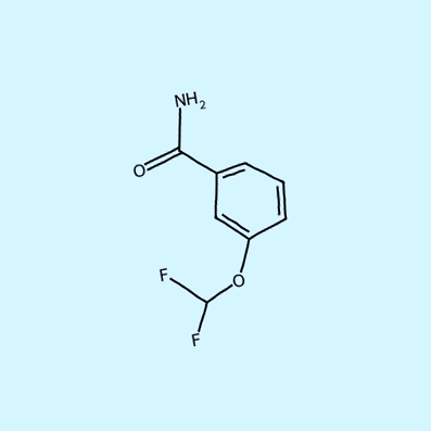 NC(=O)c1cccc(OC(F)F)c1